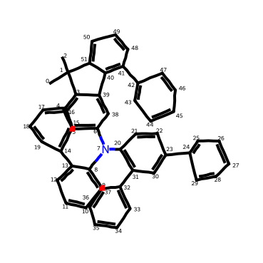 CC1(C)c2ccc(N(c3ccccc3-c3ccccc3)c3ccc(-c4ccccc4)cc3-c3ccccc3)cc2-c2c(-c3ccccc3)cccc21